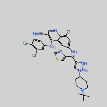 CC(C)(C)N1CCC(N2C=C([C@@H](Nc3cc(Cl)c4ncc(C#N)c(Nc5ccc(Cl)c(Cl)c5)c4c3)c3cscn3)NN2)CC1